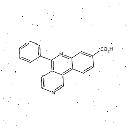 O=C(O)c1ccc2c(c1)nc(-c1ccccc1)c1ccncc12